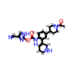 CC(=O)N1CCC(c2ccc(NC(=O)Oc3nc(C#N)c[nH]3)c(C3=CCCNC3)c2)CC1